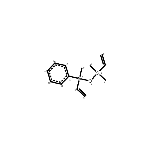 C=C[Si](C)(C)O[Si](C)(C=C)c1ccccc1